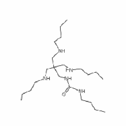 CCCCNCC(CNCCCC)(CNCCCC)CNC(=O)NCCCC